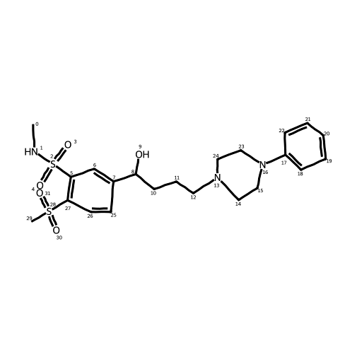 CNS(=O)(=O)c1cc(C(O)CCCN2CCN(c3ccccc3)CC2)ccc1S(C)(=O)=O